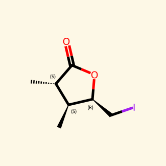 C[C@@H]1[C@H](CI)OC(=O)[C@H]1C